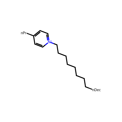 CCCCCCCCCCCCCCCCCC[n+]1ccc(CCC)cc1